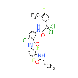 O=C(CCC(F)(F)F)Nc1c(F)ccc(NC(=O)c2cc(NC(=O)[C@H]3[C@H](c4ccc(F)c(C(F)(F)F)c4)C3(Cl)Cl)ccc2Cl)c1F